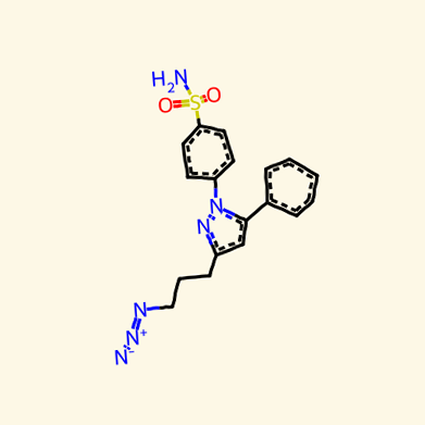 [N-]=[N+]=NCCCc1cc(-c2ccccc2)n(-c2ccc(S(N)(=O)=O)cc2)n1